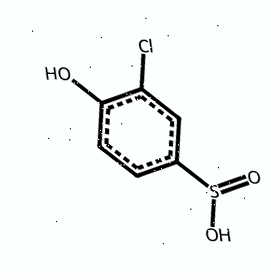 O=S(O)c1ccc(O)c(Cl)c1